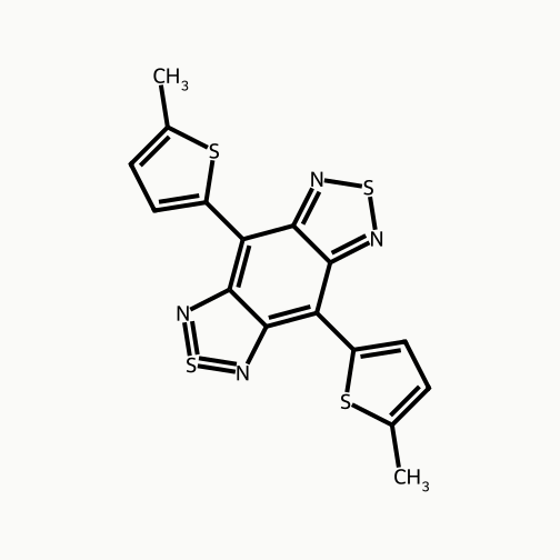 Cc1ccc(-c2c3c(c(-c4ccc(C)s4)c4nsnc24)N=S=N3)s1